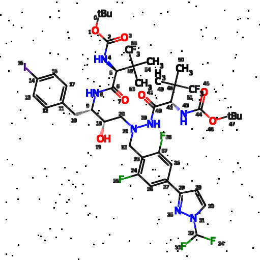 CC(C)(C)OC(=O)N[C@H](C(=O)N[C@@H](Cc1ccc(I)cc1)[C@@H](O)CN(Cc1c(F)cc(-c2ccn(C(F)F)n2)cc1F)NC(=O)[C@@H](NC(=O)OC(C)(C)C)C(C)(C)C(F)(F)F)C(C)(C)C(F)(F)F